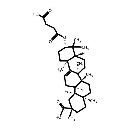 CC1(C)[C@@H](OC(=O)CCC(=O)O)CC[C@]2(C)C3=CC[C@@H]4[C@@H]5C[C@@](C)(C(=O)O)CC[C@]5(C)CC[C@@]4(C)[C@]3(C)CC[C@@H]12